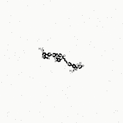 CCOc1cc(-c2ccc(N3CCC(CN4CCN(C(=O)CCCCCN5CCC(c6ccc7c(N8CCC(=O)NC8=O)nn(C)c7c6)CC5)CC4)(NC(=O)c4cc(F)ccc4F)CC3)nc2)c2c(C#N)cnn2c1